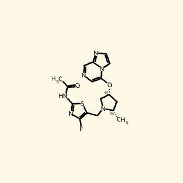 CC(=O)Nc1nc(F)c(CN2C[C@H](Oc3cncc4nccn34)C[C@@H]2C)s1